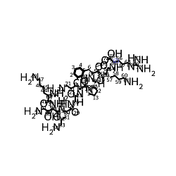 Cc1cccc(C[C@H](NC(=O)[C@@H]2CCCN2C(=O)[C@@H](CCCN)NC(=O)CNC(=O)[C@H](CCCN)NC(=O)[C@H](NC(=O)[C@@H](N)CCCCN)[C@@H](O)CN)C(=O)N[C@@H](CCCCN)C(=O)N/C(=C\CCNC(=N)N)C(=O)O)c1